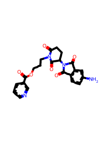 Nc1ccc2c(c1)C(=O)N(C1CCC(=O)N(CCCOC(=O)c3cccnc3)C1=O)C2=O